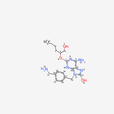 CCCC(CO)Oc1nc(N)c2nc(O)n(Cc3ccc(CN)cc3)c2n1